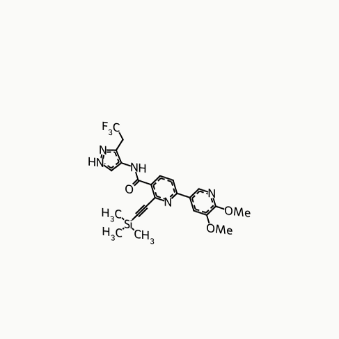 COc1cc(-c2ccc(C(=O)Nc3c[nH]nc3CC(F)(F)F)c(C#C[Si](C)(C)C)n2)cnc1OC